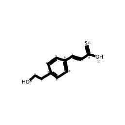 OCCc1ccc(C=CC(O)=S)cc1